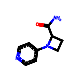 NC(=O)C1[CH]CN1c1ccncc1